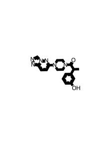 CC(C(=O)N1CCN(c2ccc3nncn3n2)CC1)c1cccc(O)c1